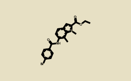 CCOC(=O)c1cc2ccc(NC(=O)c3ccc(Br)cc3)c(C)c2n1C